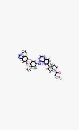 C=CC(=O)N1CC[C@@H]2C(c3ccc4ncnc(Nc5ccc(Oc6ccc7c(c6)ncn7C)c(C)c5F)c4n3)CCC21